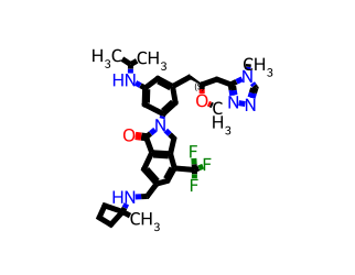 CO[C@@H](Cc1cc(NC(C)C)cc(N2Cc3c(cc(CNC4(C)CCC4)cc3C(F)(F)F)C2=O)c1)Cc1nncn1C